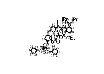 CCC(CC(=O)OC(C)OC(=O)N(C)c1ncccc1COP(=O)(OCc1ccccc1)OCc1ccccc1)c1ccc(N(CC(C)C)CC(C)C)c(NC(=O)Nc2ccc(C)cc2)c1